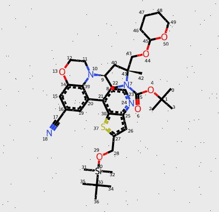 CC(C)(C)OC(=O)N1C[C@@H](N2CCOc3cc(C#N)cc(-c4ccnc5cc(CO[Si](C)(C)C(C)(C)C)sc45)c32)C[C@]1(C)COC1CCCCO1